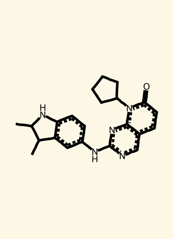 CC1Nc2ccc(Nc3ncc4ccc(=O)n(C5CCCC5)c4n3)cc2C1C